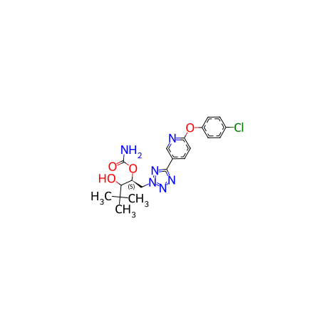 CC(C)(C)C(O)[C@H](Cn1nnc(-c2ccc(Oc3ccc(Cl)cc3)nc2)n1)OC(N)=O